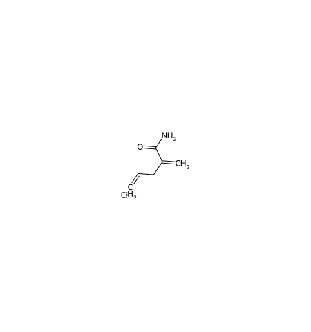 C=CCC(=C)C(N)=O.[C]